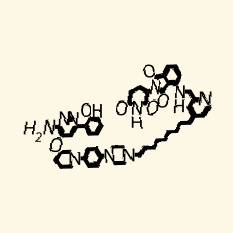 Nc1nnc(-c2ccccc2O)cc1OC1CCCN(c2ccc(N3CCN(CCCCCCCCCc4ccnc(CNc5cccc6c5C(=O)N(C5CCC(=O)NC5=O)C6=O)c4)CC3)cc2)C1